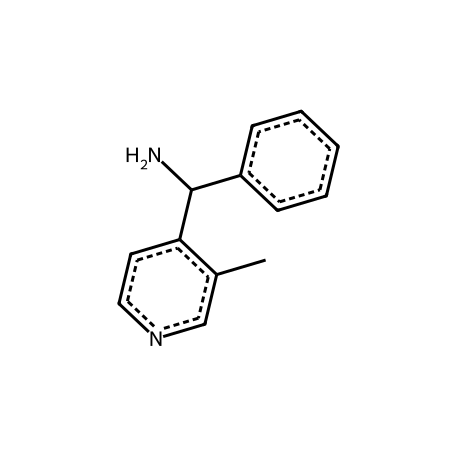 Cc1cnccc1C(N)c1ccccc1